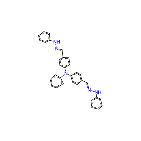 C(=N\Nc1ccccc1)/c1ccc(N(c2ccccc2)c2ccc(/C=N/Nc3ccccc3)cc2)cc1